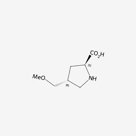 COC[C@H]1CN[C@H](C(=O)O)C1